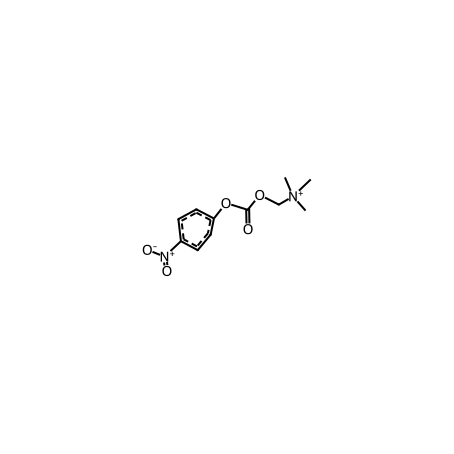 C[N+](C)(C)COC(=O)Oc1ccc([N+](=O)[O-])cc1